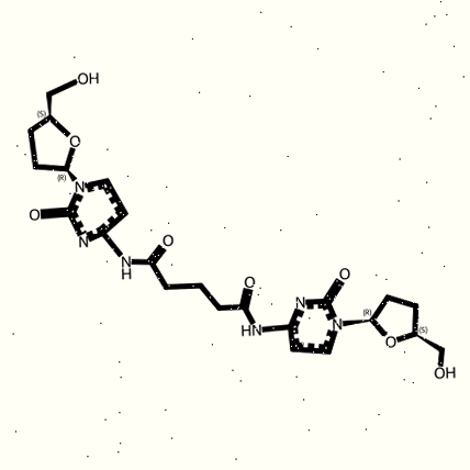 O=C(CCCC(=O)Nc1ccn([C@H]2CC[C@@H](CO)O2)c(=O)n1)Nc1ccn([C@H]2CC[C@@H](CO)O2)c(=O)n1